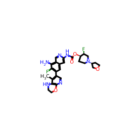 Cc1c(-c2cc3cc(NC(=O)O[C@@H]4CCN([C@@H]5CCOC5)C[C@@H]4F)ncc3c(N)c2F)cnc2c1NCCO2